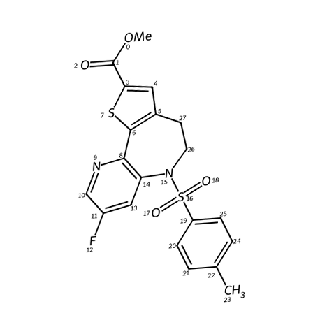 COC(=O)c1cc2c(s1)-c1ncc(F)cc1N(S(=O)(=O)c1ccc(C)cc1)CC2